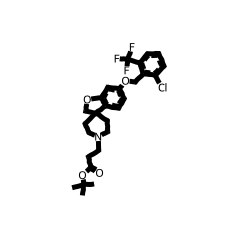 CC(C)(C)OC(=O)CCN1CCC2(CC1)COc1cc(OCc3c(Cl)cccc3C(F)(F)F)ccc12